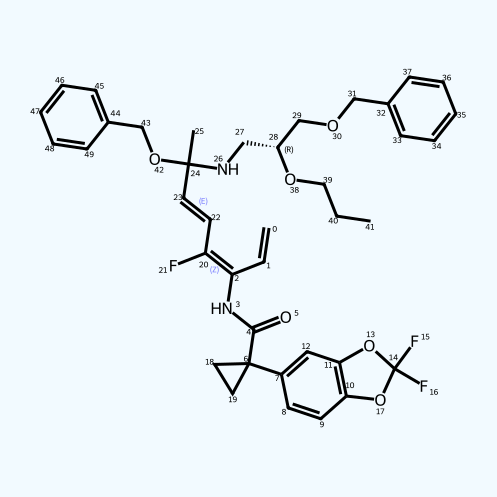 C=C/C(NC(=O)C1(c2ccc3c(c2)OC(F)(F)O3)CC1)=C(F)\C=C\C(C)(NC[C@H](COCc1ccccc1)OCCC)OCc1ccccc1